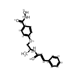 C[C@@H](COc1ccc(C(=O)NO)cc1)NC(=O)/C=C/c1ccccc1